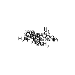 Cc1cc(OC(C)C)ncc1-c1ccc(C(=O)NS(=O)(=O)c2cccc(N)n2)c(N2[C@H](C)CC[C@@H]2C)n1